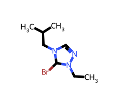 CCN1N=CN(CC(C)C)C1Br